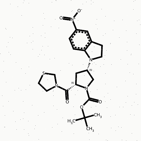 CC(C)(C)OC(=O)N1C[C@@H](N2CCc3cc([N+](=O)[O-])ccc32)C[C@H]1C(=O)N1CCSC1